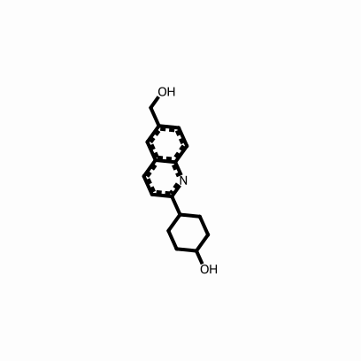 OCc1ccc2nc(C3CCC(O)CC3)ccc2c1